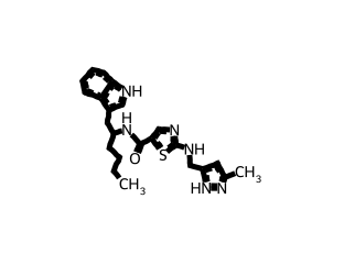 CCCCC(Cc1c[nH]c2ccccc12)NC(=O)c1cnc(NCc2cc(C)n[nH]2)s1